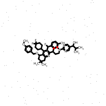 COc1ccc(COC2CC(C)(C)Cc3nc(C4CCN(c5ncc(C(O)C(C)C)cn5)CC4)c(C(F)c4ccc(C)cc4)c(C4CCC(F)(F)CC4)c32)cc1